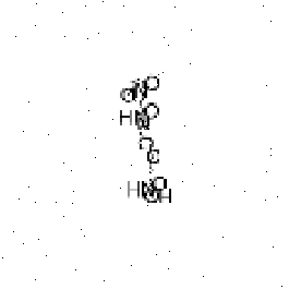 O=C(CCCOc1ccc(/C=N/NC(=O)CCN2C(=O)C=CC2=O)cc1)NO